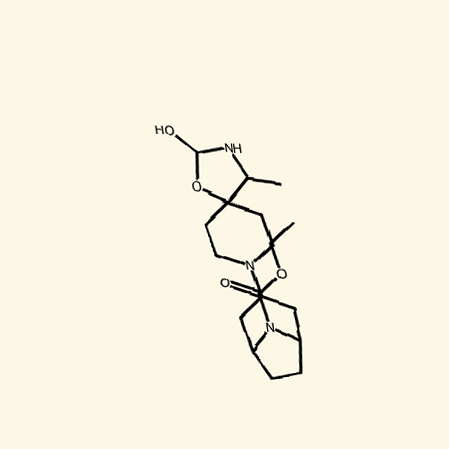 CCOC(=O)N1C2CCC1CC(N1CCC3(CC1)OC(O)NC3C)C2